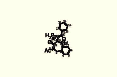 CC(=O)N1Cc2ccccc2[C@@H]2OC(c3ccccc3)=N[C@]2(CP)C1=O